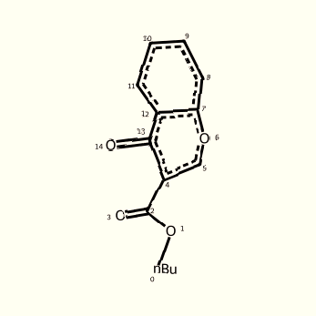 CCCCOC(=O)c1coc2ccccc2c1=O